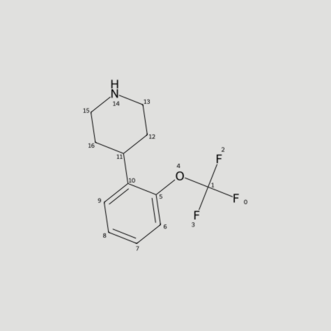 FC(F)(F)Oc1ccccc1C1CCNCC1